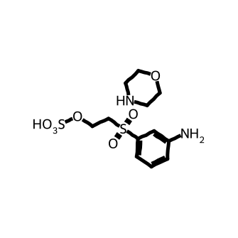 C1COCCN1.Nc1cccc(S(=O)(=O)CCOS(=O)(=O)O)c1